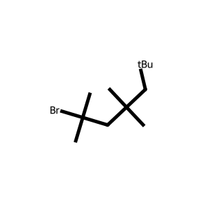 CC(C)(C)CC(C)(C)CC(C)(C)Br